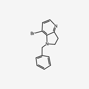 Brc1ccnc2c1N(Cc1ccccc1)CC2